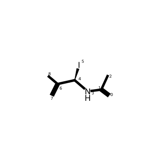 C=C(C)N[C@H](I)C(=C)C